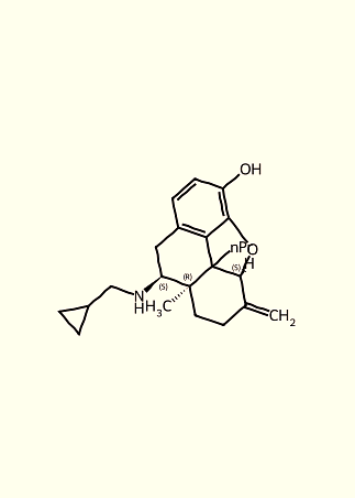 C=C1CC[C@@]2(C)[C@@H](NCC3CC3)Cc3ccc(O)c4c3C2(CCC)[C@H]1O4